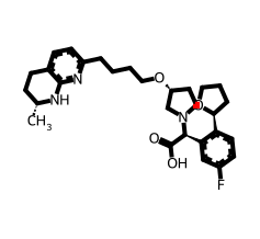 C[C@@H]1CCc2ccc(CCCCO[C@@H]3CCN([C@H](C(=O)O)c4cc(F)ccc4[C@@H]4CCCO4)C3)nc2N1